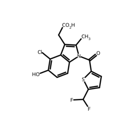 Cc1c(CC(=O)O)c2c(Cl)c(O)ccc2n1C(=O)c1ccc(C(F)F)s1